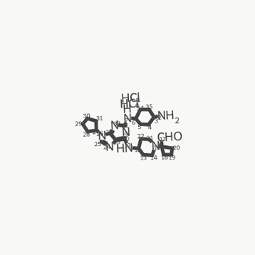 Cl.Cl.NC1CCC(Nc2nc(NC3CCN(C4(C=O)CCC4)CC3)c3ncn(C4CCCC4)c3n2)CC1